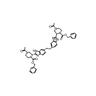 CC(=O)N1CCN(C(=O)OCc2ccccc2)C(c2nc3cc(CCc4ccc5nc(C6CN(C(C)=O)CCN6C(=O)OCc6ccccc6)[nH]c5c4)ccc3[nH]2)C1